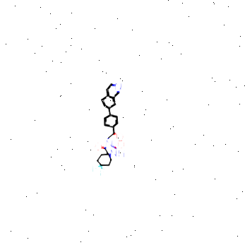 O=C(CN1C(=O)NC2(CCC(F)(F)CC2)C1=O)c1ccc(-c2ccc3ccncc3c2)cc1